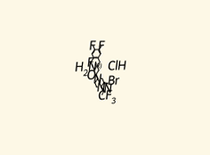 Cl.N[C@@H](CC(=O)N1CCn2c(C(F)(F)F)nc(Br)c2C1)Cc1cc(F)c(F)cc1F